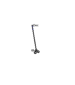 CCCCCCCCCC/C=C/C/C=C/CCCCCCCCCCCCCCCCCCCCCCO[Si](c1ccccc1)(c1ccccc1)C(C)(C)C